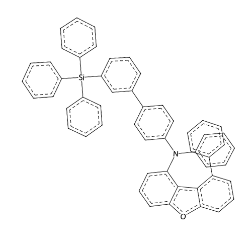 c1ccc(-c2cccc3oc4cccc(N(c5ccccc5)c5ccc(-c6cccc([Si](c7ccccc7)(c7ccccc7)c7ccccc7)c6)cc5)c4c23)cc1